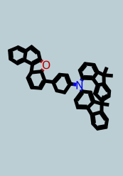 CC1(C)c2ccccc2-c2ccc(N(C3=CC=C(C4=CC=CC5c6c(ccc7ccccc67)OC45)CC3)c3cccc4c3-c3ccccc3C4(C)C)cc21